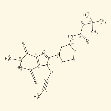 CC#CCn1c(N2CCCC(NC(=O)OC(C)(C)C)C2)nc2c(=O)n(C)[nH]c(=O)c21